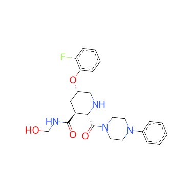 O=C(NCO)[C@H]1C[C@H](Oc2ccccc2F)CN[C@@H]1C(=O)N1CCN(c2ccccc2)CC1